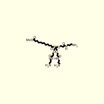 COC(=O)CCCCCCCCCCC(=O)NC(COCCC(=O)NCCCN)(COCCC(=O)NCCCN)COCCC(=O)NCCCN